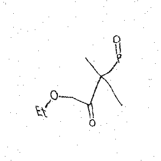 CCOC(=O)C(C)(C)P=O